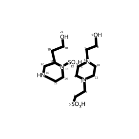 O=S(=O)(O)CCN1CCN(CCO)CC1.O=S(=O)(O)N1CCNCC1CCO